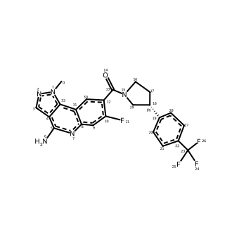 Cn1ncc2c(N)nc3cc(F)c(C(=O)N4CC[C@H](c5ccc(C(F)(F)F)cc5)C4)cc3c21